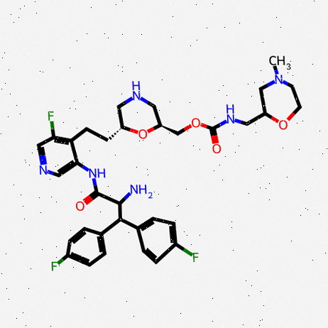 CN1CCOC(CNC(=O)OC[C@@H]2CNC[C@@H](CCc3c(F)cncc3NC(=O)C(N)C(c3ccc(F)cc3)c3ccc(F)cc3)O2)C1